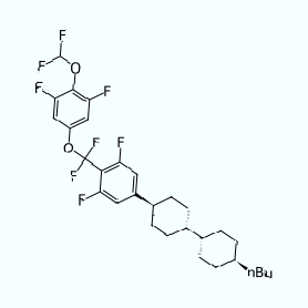 CCCC[C@H]1CC[C@H]([C@H]2CC[C@H](c3cc(F)c(C(F)(F)Oc4cc(F)c(OC(F)F)c(F)c4)c(F)c3)CC2)CC1